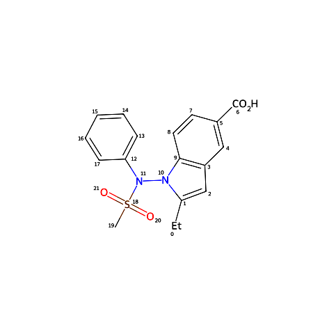 CCc1cc2cc(C(=O)O)ccc2n1N(c1ccccc1)S(C)(=O)=O